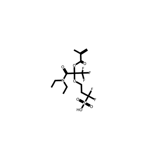 C=C(C)C(=O)OC(OCCC(F)(F)S(=O)(=O)O)(C(=O)N(CC)CC)C(F)(F)F